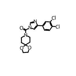 O=C(N1CCC2(CC1)OCCO2)n1cnc(-c2ccc(Cl)c(Cl)c2)c1